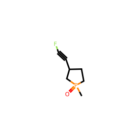 CP1(=O)CCC(C#CF)C1